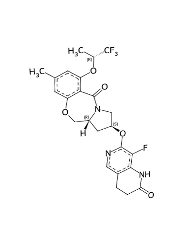 Cc1cc2c(c(O[C@H](C)C(F)(F)F)c1)C(=O)N1C[C@@H](Oc3ncc4c(c3F)NC(=O)CC4)C[C@@H]1CO2